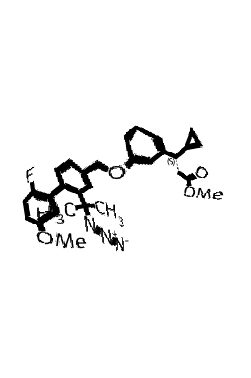 COC(=O)C[C@H](c1cccc(OCc2ccc(-c3cc(OC)ccc3F)c(C(C)(C)N=[N+]=[N-])c2)c1)C1CC1